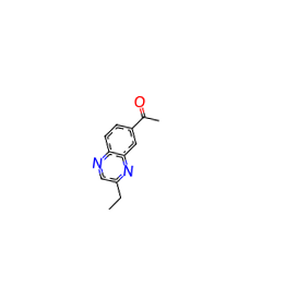 CCc1cnc2ccc(C(C)=O)cc2n1